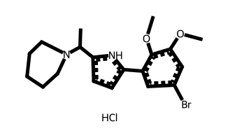 COc1cc(Br)cc(-c2ccc(C(C)N3CCCCC3)[nH]2)c1OC.Cl